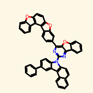 c1ccc(-c2ccc3c(c2)c2c4ccccc4ccc2n3-c2nc(-c3ccc4c(c3)oc3ccc5oc6ccccc6c5c34)c3oc4ccccc4c3n2)cc1